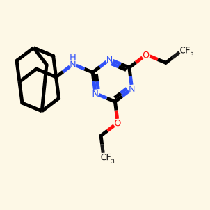 FC(F)(F)COc1nc(NC23CC4CC(CC(C4)C2)C3)nc(OCC(F)(F)F)n1